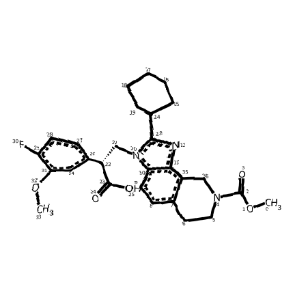 COC(=O)N1CCc2ccc3c(nc(C4CCCCC4)n3C[C@H](C(=O)O)c3ccc(F)c(OC)c3)c2C1